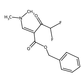 CN(C)C=C(C(=O)OCc1ccccc1)C(=O)C(F)F